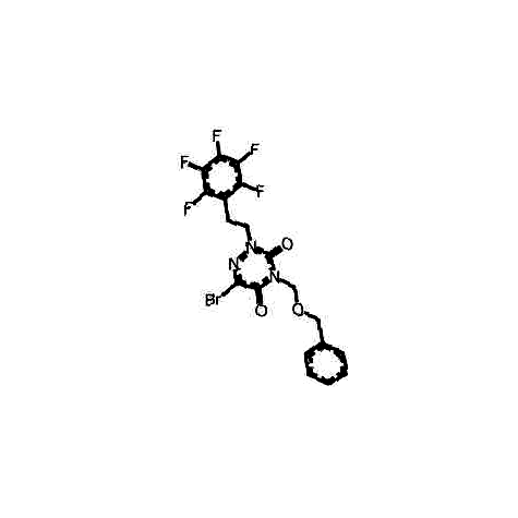 O=c1c(Br)nn(CCc2c(F)c(F)c(F)c(F)c2F)c(=O)n1COCc1ccccc1